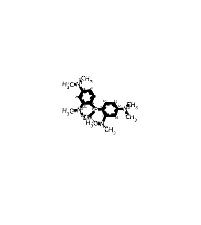 CN(C)c1ccc(P(Cl)c2ccc(N(C)C)cc2N(C)C)c(N(C)C)c1